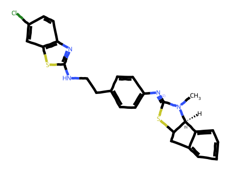 CN1/C(=N/c2ccc(CCNc3nc4ccc(Cl)cc4s3)cc2)SC2Cc3ccccc3[C@@H]21